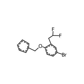 FC(F)Cc1cc(Br)ccc1OCc1ccccc1